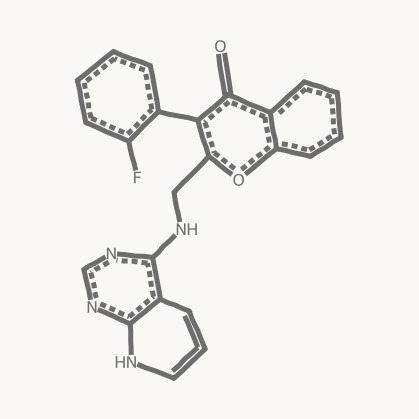 O=c1c(-c2ccccc2F)c(CNc2ncnc3c2C=C=CN3)oc2ccccc12